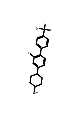 CCCC1CCC(c2ccc(-c3ccc(C(F)(F)Br)cc3)c(F)c2)CC1